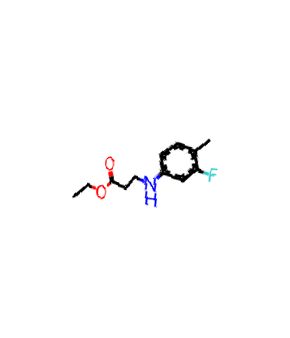 CCOC(=O)CCNc1ccc(C)c(F)c1